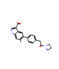 O=C(O)c1c[nH]c2cc(Cl)c(-c3ccc(CC(=O)N4CCC4)cc3)cc12